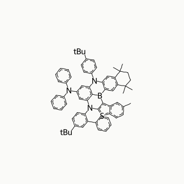 Cc1ccc2sc3c(c2c1)B1c2cc4c(cc2N(c2ccc(C(C)(C)C)cc2)c2cc(N(c5ccccc5)c5ccccc5)cc(c21)N3c1ccc(C(C)(C)C)cc1-c1ccccc1)C(C)(C)CCC4(C)C